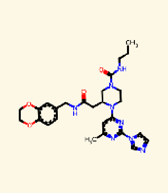 CCCNC(=O)N1CCN(c2cc(C)nc(-n3ccnc3)n2)C(CC(=O)NCc2ccc3c(c2)OCCO3)C1